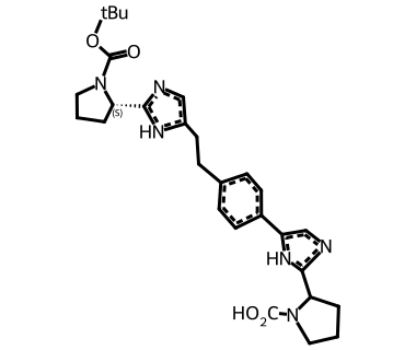 CC(C)(C)OC(=O)N1CCC[C@H]1c1ncc(CCc2ccc(-c3cnc(C4CCCN4C(=O)O)[nH]3)cc2)[nH]1